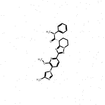 COc1nc(-c2nc3n(n2)CCC[C@H]3C(=O)N(C)c2ccccc2)ccc1-n1cnc(C)c1